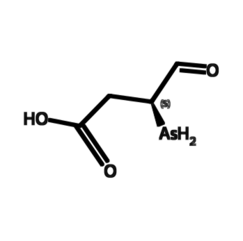 O=C[C@@H]([AsH2])CC(=O)O